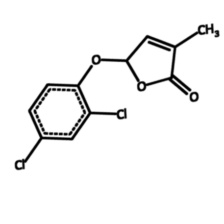 CC1=CC(Oc2ccc(Cl)cc2Cl)OC1=O